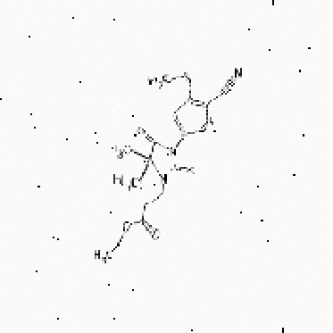 CCOC(=O)CCN1C(=S)N(c2cnc(C#N)c(SC)c2)C(=O)C1(C)C